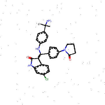 CCC(C)(N)c1ccc(N/C(=C2\C(=O)Nc3cc(Cl)ccc32)c2ccc(N3CCCC3=O)cc2)cc1